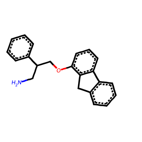 NCC(COc1cccc2c1Cc1ccccc1-2)c1ccccc1